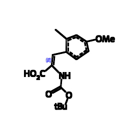 COc1ccc(/C=C(\NC(=O)OC(C)(C)C)C(=O)O)c(C)c1